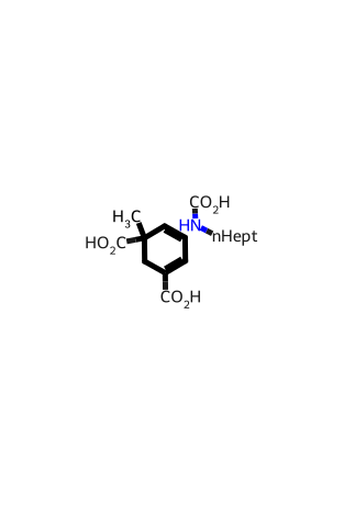 CC1(C(=O)O)C=CC=C(C(=O)O)C1.CCCCCCCNC(=O)O